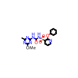 COc1nc(C)nc(NC(=O)NS(=O)(=O)c2cccnc2Oc2ccccc2)n1